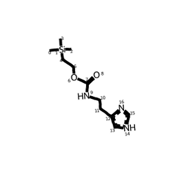 C[Si](C)(C)CCOC(=O)NCCc1c[nH]cn1